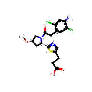 CO[C@H]1C[C@@H](c2ncc(CCC(=O)O)s2)N(C(=O)Cc2cc(Cl)c(N)cc2Cl)C1